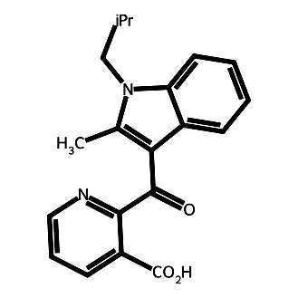 Cc1c(C(=O)c2ncccc2C(=O)O)c2ccccc2n1CC(C)C